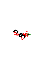 O=S(=O)(OC1CCOc2cc(OC3CCCCO3)ccc21)C(F)(F)F